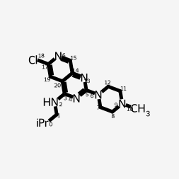 CC(C)CNc1nc(N2CCN(C)CC2)nc2cnc(Cl)cc12